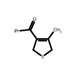 CC1=C(C(=O)C(C)C)CSC1